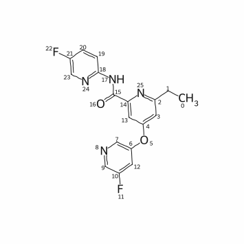 CCc1cc(Oc2cncc(F)c2)cc(C(=O)Nc2ccc(F)cn2)n1